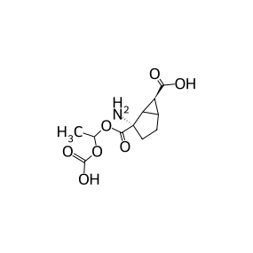 CC(OC(=O)O)OC(=O)[C@]1(N)CCC2C1[C@H]2C(=O)O